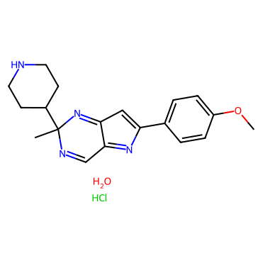 COc1ccc(C2=CC3=NC(C)(C4CCNCC4)N=CC3=N2)cc1.Cl.O